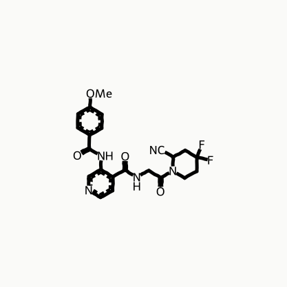 COc1ccc(C(=O)Nc2cnccc2C(=O)NCC(=O)N2CCC(F)(F)CC2C#N)cc1